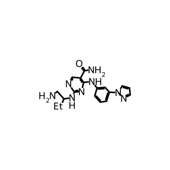 CCC(CN)Nc1ncc(C(N)=O)c(Nc2cccc(-n3cccn3)c2)n1